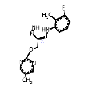 Cc1cnc(OC/C(=C/Nc2cccc(F)c2C)N=N)nc1